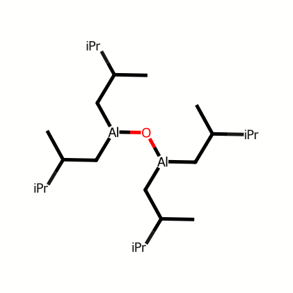 CC(C)C(C)[CH2][Al]([CH2]C(C)C(C)C)[O][Al]([CH2]C(C)C(C)C)[CH2]C(C)C(C)C